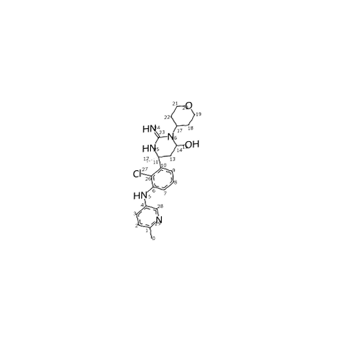 Cc1ccc(Nc2cccc([C@]3(C)CC(O)N(C4CCOCC4)C(=N)N3)c2Cl)cn1